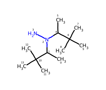 CC(N(N)C(C)C(C)(C)C)C(C)(C)C